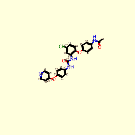 CC(=O)Nc1ccc(Oc2ccc(Cl)cc2NC(=O)Nc2ccc(Oc3ccncc3)cc2)cc1